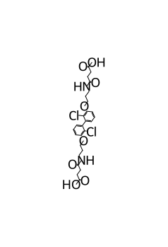 O=C(O)CCC(=O)NCCCOc1cccc(-c2cccc(OCCCNC(=O)CCC(=O)O)c2Cl)c1Cl